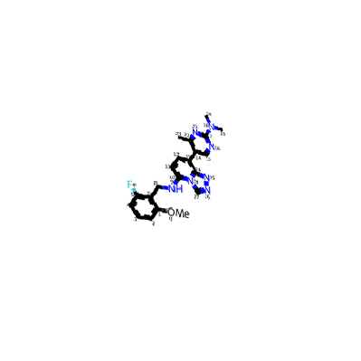 COc1cccc(F)c1CNc1ccc(-c2cnc(N(C)C)nc2C)c2nncn12